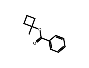 CC1(OC(=O)c2ccccc2)CCC1